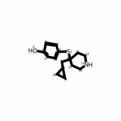 Oc1ccc(SC2(CC3CC3)CCNCC2)cc1